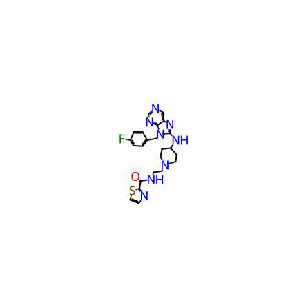 O=C(NCCN1CCC(Nc2nc3cncnc3n2Cc2ccc(F)cc2)CC1)c1nccs1